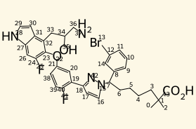 CC(C)(CCCCC(c1cccc(Br)c1)n1ccc(-c2cc(Oc3c(F)cc4[nH]ccc4c3CC(O)CN)ccc2F)n1)C(=O)O